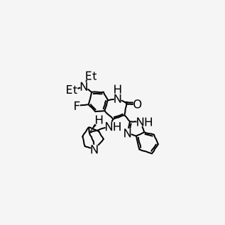 CCN(CC)c1cc2[nH]c(=O)c(-c3nc4ccccc4[nH]3)c(N[C@@H]3CN4CCC3CC4)c2cc1F